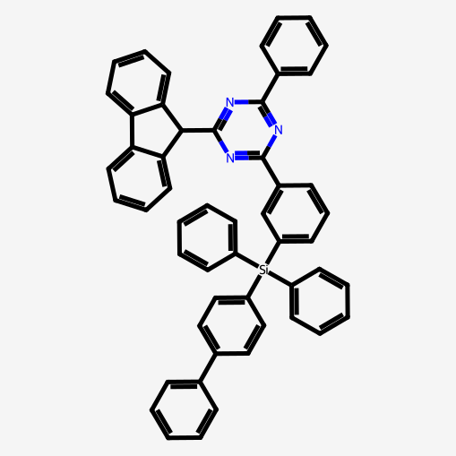 c1ccc(-c2ccc([Si](c3ccccc3)(c3ccccc3)c3cccc(-c4nc(-c5ccccc5)nc(C5c6ccccc6-c6ccccc65)n4)c3)cc2)cc1